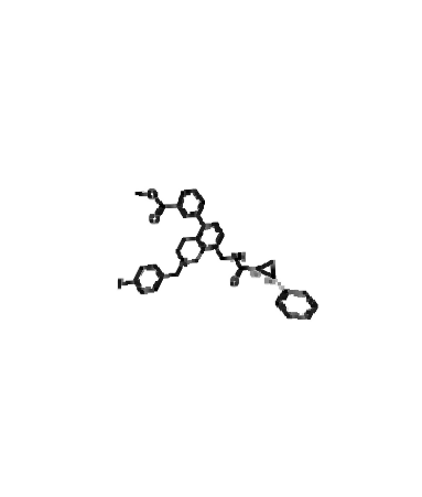 COC(=O)c1cccc(-c2ccc(CNC(=O)[C@H]3C[C@@H]3c3ccccc3)c3c2CCN(Cc2ccc(F)cc2)C3)c1